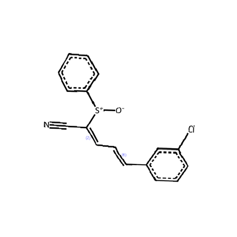 N#C/C(=C/C=C/c1cccc(Cl)c1)[S+]([O-])c1ccccc1